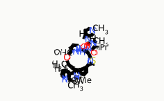 CCn1c(-c2cccnc2[C@H](C)OC)c2c3cc(ccc31)-c1csc(n1)C[C@H](NC(=O)[C@H](C(C)C)N(C)C(=O)N1C[C@@H]3CCN(C)C[C@@H]31)C(=O)N1CCCC(C=O)(COCC(C)(C)C2)N1